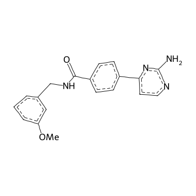 COc1cccc(CNC(=O)c2ccc(-c3ccnc(N)n3)cc2)c1